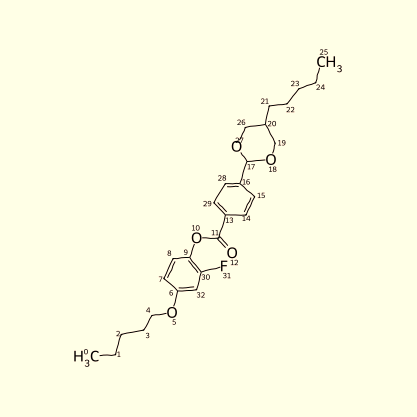 CCCCCOc1ccc(OC(=O)c2ccc(C3OCC(CCCCC)CO3)cc2)c(F)c1